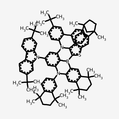 CC(C)(C)c1ccc(N2c3cc(-n4c5cc(C(C)(C)C)ccc5c5ccc(C(C)(C)C)cc54)cc4c3B(c3cc5c(cc3N4c3ccc4c(c3)C(C)(C)CCC4(C)C)C(C)(C)CCC5(C)C)c3sc4cc5c(cc4c32)C2(C)CCC5(C)C2)c(-c2ccccc2)c1